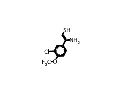 N/C(=C\S)c1ccc(OC(F)(F)F)c(Cl)c1